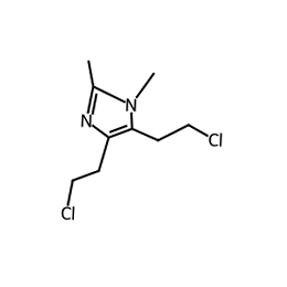 Cc1nc(CCCl)c(CCCl)n1C